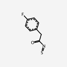 O=C(Cc1ccc(F)cc1)N=S